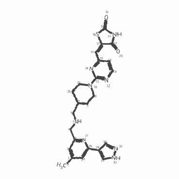 Cc1cc(CNCC2CCN(c3nccc(C=C4SC(=O)NC4=O)n3)CC2)nc(-c2cn[nH]c2)c1